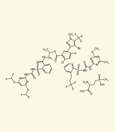 CC(C)OC(=O)c1cc(-c2nn(C)c(C(F)(F)F)c2Br)c(F)cc1Cl.COc1nc(C)nc(NC(=O)NS(=O)(=O)c2ccccc2CCC(F)(F)F)n1.CP(=O)(O)CCC(N)C(=O)O.O=C(Nc1nc(OC(F)F)cc(OC(F)F)n1)NS(=O)(=O)c1ccccc1C(=O)O